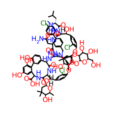 CN[C@H](CC(C)C)C(=O)N[C@@H]1C(=O)NC(CC(N)=O)C(=O)NC2C(=O)NC3C(=O)N[C@H](C(=O)NC(C(=O)O)c4cc(O)cc(O)c4-c4cc3ccc4O)[C@H](OC3CC(C)(C)C(O)C(C)O3)c3ccc(c(Cl)c3)Oc3cc2cc(c3OC2OC(CO)C(O)C(O)C2OC2CC(C)(NCc3ccc(-c4ccc(Cl)cc4)cc3)C(O)C(C)O2)Oc2ccc(cc2Cl)C1O